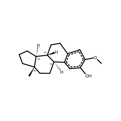 COc1cc2c(cc1O)[C@H]1CC[C@]3(C)CCC[C@H]3[C@@H]1CC2